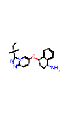 CCC(C)(C)c1nnc2ccc(OC3CCC(N)c4ccccc43)cn12